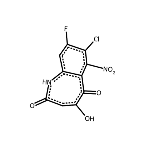 O=c1cc(O)c(=O)c2c([N+](=O)[O-])c(Cl)c(F)cc2[nH]1